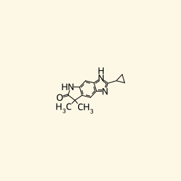 CC1(C)C(=O)Nc2cc3[nH]c(C4CC4)nc3cc21